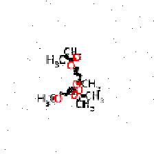 C=C(C)C(=O)OCCCC(C)O[Si](CCCOC)(OCC)OCC